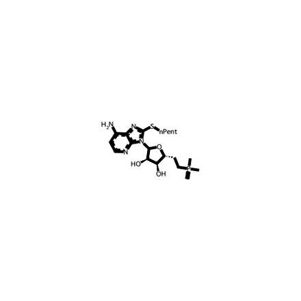 C=P(C)(C)CC[C@H]1OC(n2c(SCCCCC)nc3c(N)ccnc32)[C@H](O)[C@@H]1O